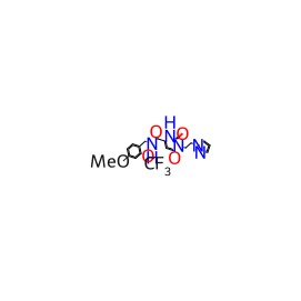 COc1ccc(CNC(=O)c2cc(=O)n(CCn3cccn3)c(=O)[nH]2)c(OC(F)(F)F)c1